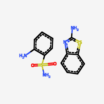 Nc1ccccc1S(N)(=O)=O.Nc1nc2ccccc2s1